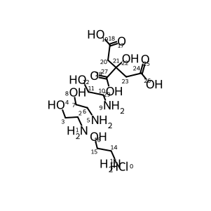 Cl.NCCO.NCCO.NCCO.NCCO.O=C(O)CC(O)(CC(=O)O)C(=O)O